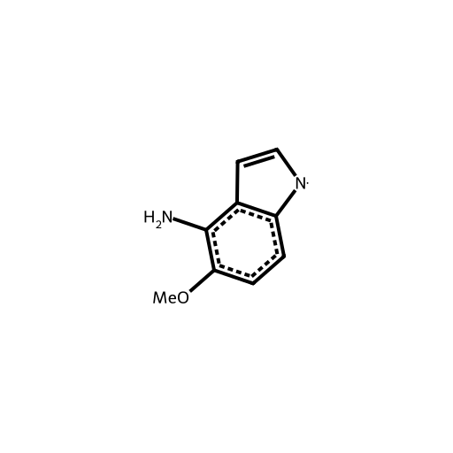 COc1ccc2c(c1N)C=C[N]2